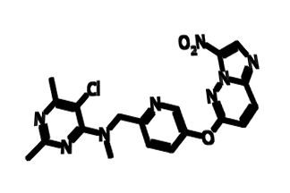 Cc1nc(C)c(Cl)c(N(C)Cc2ccc(Oc3ccc4ncc([N+](=O)[O-])n4n3)cn2)n1